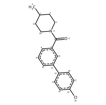 CC1CCN(C(=O)c2cccc(-c3ccc(Cl)cc3)c2)CC1